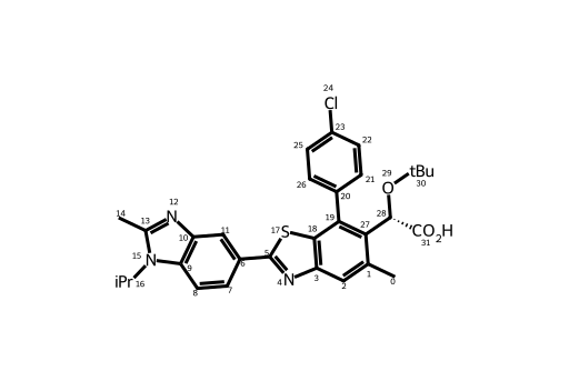 Cc1cc2nc(-c3ccc4c(c3)nc(C)n4C(C)C)sc2c(-c2ccc(Cl)cc2)c1[C@H](OC(C)(C)C)C(=O)O